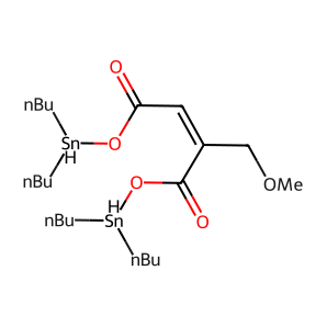 CCC[CH2][SnH]([CH2]CCC)[O]C(=O)/C=C(/COC)C(=O)[O][SnH]([CH2]CCC)[CH2]CCC